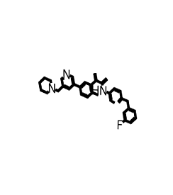 C=C(/C=C\C(=C/C)NC(=C)C(=C)c1cc(-c2cncc(CN3CCCCC3)c2)ccc1C)Cc1cccc(F)c1